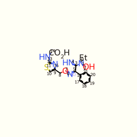 CCN(O)C(=N)/C(=N\OCc1csc(NC(=O)O)n1)c1ccccc1